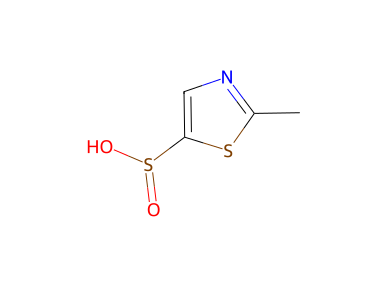 Cc1ncc(S(=O)O)s1